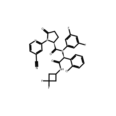 N#Cc1ccnc(N2C(=O)CC[C@H]2C(=O)N(c2cc(F)cc(F)c2)[C@H](C(=O)NC2CC(F)(F)C2)c2ccccc2Cl)c1